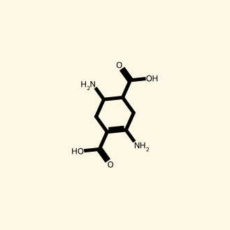 NC1=C(C(=O)O)CC(N)C(C(=O)O)C1